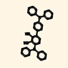 Oc1c(-c2ccc(N(c3ccccc3)c3ccccc3)cc2)ccc(N(c2ccccc2)c2ccccc2)c1O